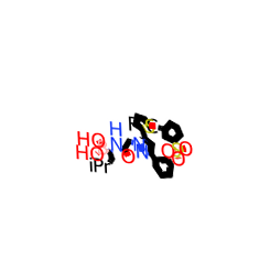 CC(C)CC(NC(=O)Cn1nc(-c2ccccc2OS(=O)(=O)c2cccc(C(F)(F)F)c2)cc1-c1cccs1)B(O)O